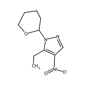 CCc1c([N+](=O)[O-])cnn1C1CCCCO1